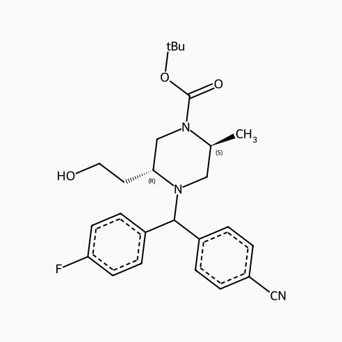 C[C@H]1CN(C(c2ccc(F)cc2)c2ccc(C#N)cc2)[C@H](CCO)CN1C(=O)OC(C)(C)C